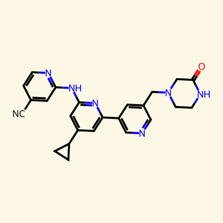 N#Cc1ccnc(Nc2cc(C3CC3)cc(-c3cncc(CN4CCNC(=O)C4)c3)n2)c1